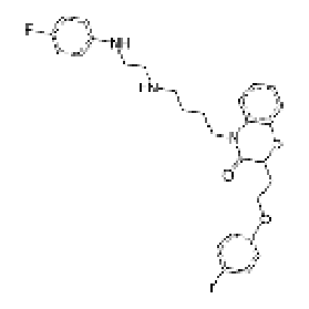 O=C1C(CCOc2ccc(I)cc2)Oc2ccccc2N1CCCCNCCNc1ccc(F)cc1